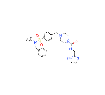 CN(Cc1ccccc1)S(=O)(=O)c1ccc(CN2CCN(C(=O)NCc3ncc[nH]3)CC2)cc1